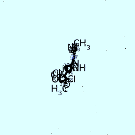 COc1cc(OC)c(Cl)c(-c2cc3[nH]nc(/C=C/c4cnn(C)c4)c3cn2)c1Cl